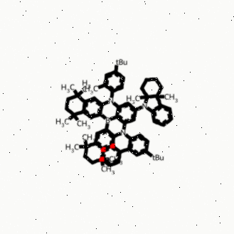 Cc1cc(C(C)(C)C)ccc1N1c2cc3c(cc2B2c4cc5c(cc4N(c4ccc(C(C)(C)C)cc4-c4ccccc4)c4cc(N6c7ccccc7C7(C)CCCCC67C)cc1c42)C(C)(C)CCC5(C)C)C(C)(C)CCC3(C)C